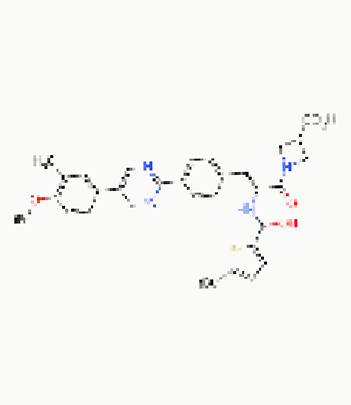 Cc1cc(-c2cnc(-c3ccc(C[C@H](NC(O)c4ccc(C(C)(C)C)s4)C(=O)N4CC(C(=O)O)C4)cc3)nc2)ccc1OC(C)C